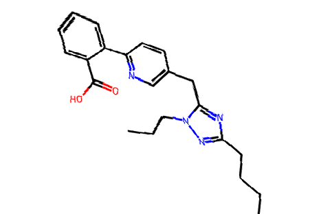 CCCCCc1nc(Cc2ccc(-c3ccccc3C(=O)O)nc2)n(CCC)n1